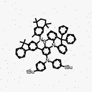 Cc1cc2c(cc1N1B3c4cccc5c4N(c4ccccc4C5(c4ccccc4)c4ccccc4)c4cc(N(c5ccc(C(C)(C)C)cc5)c5ccc(C(C)(C)C)cc5)cc(c43)-c3cc4c(cc31)C(C)(C)c1ccccc1-4)C(C)(C)CCC2(C)C